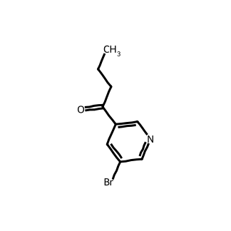 CCCC(=O)c1cncc(Br)c1